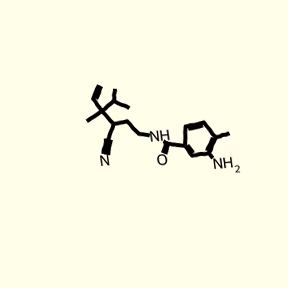 C=CC(C)(C(C)C)C(C#N)CCNC(=O)c1ccc(C)c(N)c1